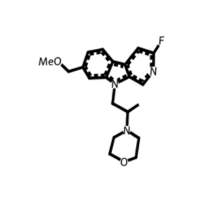 COCc1ccc2c3cc(F)ncc3n(CC(C)N3CCOCC3)c2c1